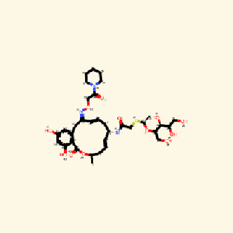 C[C@@H]1C/C=C/[C@@H](NC(=O)CS[C@@H](C)OC(CO)[C@@H](O)C(O)CO)C/C=C/C(=N\OCC(=O)N2CCCCC2)Cc2cc(O)cc(O)c2C(=O)O1